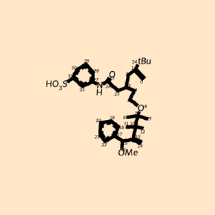 C=C(CC(CCOC(C)(C)C(C)(C)C(=C)C(OC)c1ccccc1)CC(=O)Nc1cccc(S(=O)(=O)O)c1)C(C)(C)C